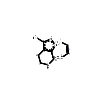 O=C(O)/C=C\C(=O)O.Oc1noc2c1CCNC2